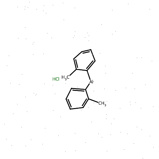 Cc1cccc[c]1[Al][c]1ccccc1C.Cl